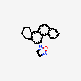 c1ccc2c(c1)ccc1c3c(ccc12)CCCC3.c1cnon1